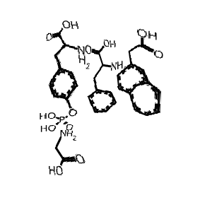 NC(Cc1ccc(OP(=O)(O)O)cc1)C(=O)O.NC(Cc1ccccc1)C(=O)O.NCC(=O)O.O=C(O)Cc1ccc2ccccc2c1